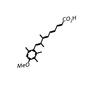 COc1cc(C)c(/C=C(C)/C(C)=C/C=C/C=C/C(=O)O)c(C)c1C